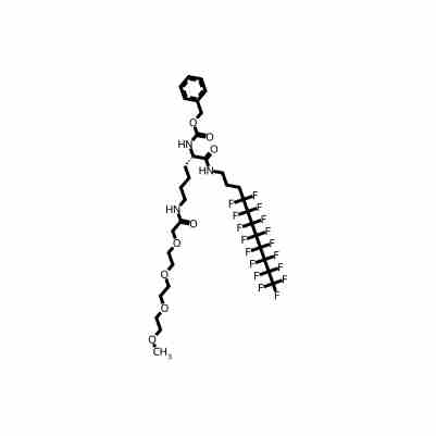 COCCOCCOCCOCC(=O)NCCCC[C@H](NC(=O)OCc1ccccc1)C(=O)NCCCC(F)(F)C(F)(F)C(F)(F)C(F)(F)C(F)(F)C(F)(F)C(F)(F)C(F)(F)F